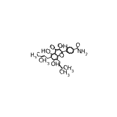 CC(C)=CCc1c(O)c(CC=C(C)C)c2oc(-c3ccc(C(N)=O)cc3)c(O)c(=O)c2c1O